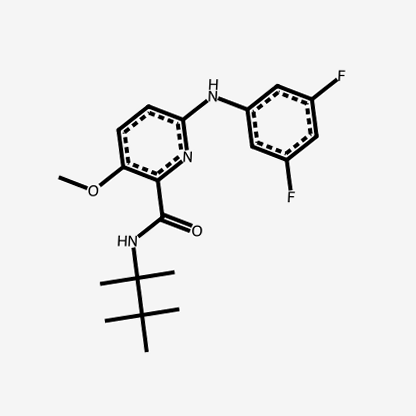 COc1ccc(Nc2cc(F)cc(F)c2)nc1C(=O)NC(C)(C)C(C)(C)C